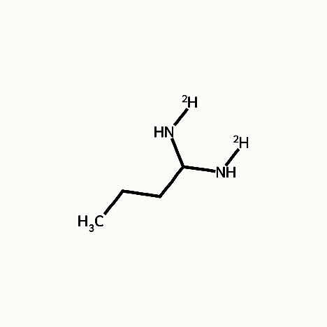 [2H]NC(CCC)N[2H]